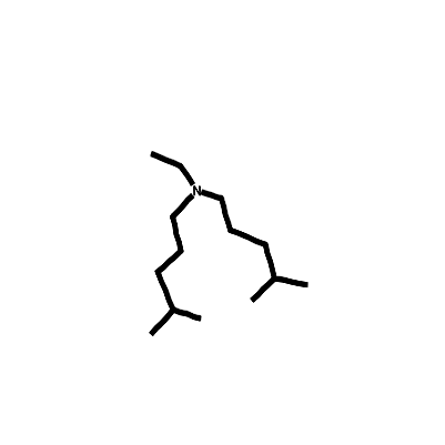 CCN(CCCC(C)C)CCCC(C)C